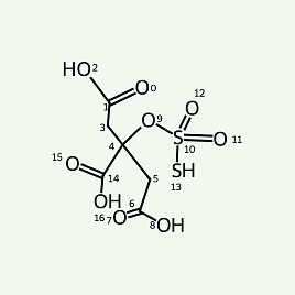 O=C(O)CC(CC(=O)O)(OS(=O)(=O)S)C(=O)O